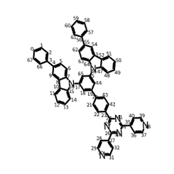 c1ccc(-c2ccc3c(c2)c2ccccc2n3-c2cc(-c3ccc(-c4nc(-c5ccncc5)nc(-c5ccncc5)n4)cc3)cc(-n3c4ccccc4c4cc(-c5ccccc5)ccc43)c2)cc1